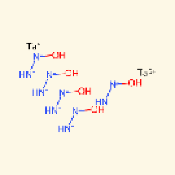 [NH-][N-]O.[NH-][N-]O.[NH-][N-]O.[NH-][N-]O.[NH-][N-]O.[Ta+5].[Ta+5]